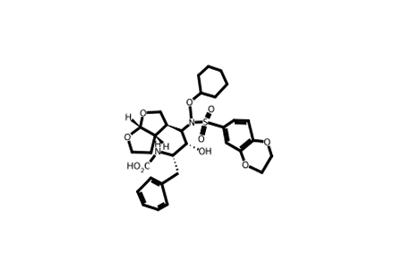 O=C(O)N[C@@H](Cc1ccccc1)[C@@H](O)C([C@@H]1CO[C@H]2OCC[C@H]21)N(OC1CCCCC1)S(=O)(=O)c1ccc2c(c1)OCCO2